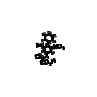 O=C(O)C(Cl)Cc1cc(Br)c(C2CCCCC2)c([N+](=O)[O-])c1